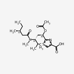 CC[C@H](C)CC(=O)N(C)[C@H](C[C@@H](OC(C)=O)c1nc(C(=O)O)cs1)C(C)C